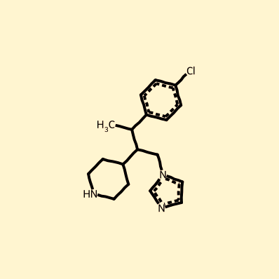 CC(c1ccc(Cl)cc1)C(Cn1ccnc1)C1CCNCC1